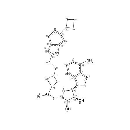 CC(C)[As](C[C@@H]1O[C@@H](n2cnc3c(N)ncnc32)[C@@H](O)[C@H]1O)C1CC(CCc2nc3cc(C4CCC4)ccc3[nH]2)C1